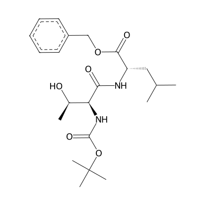 CC(C)C[C@H](NC(=O)[C@@H](NC(=O)OC(C)(C)C)[C@@H](C)O)C(=O)OCc1ccccc1